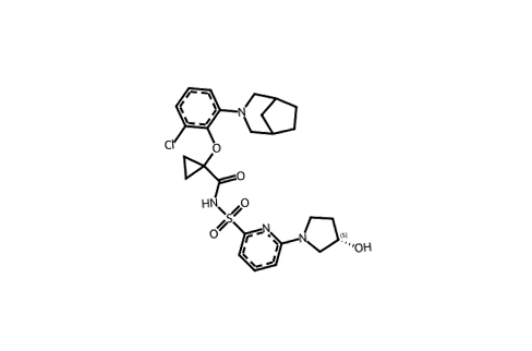 O=C(NS(=O)(=O)c1cccc(N2CC[C@H](O)C2)n1)C1(Oc2c(Cl)cccc2N2CC3CCC(C3)C2)CC1